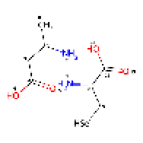 CC(N)CC(=O)O.N[C@@H](C[SeH])C(=O)O